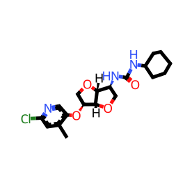 Cc1cc(Cl)ncc1O[C@H]1CO[C@H]2[C@@H]1OC[C@@H]2NC(=O)NC1CCCCC1